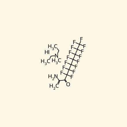 C=C(N)C(=O)C(F)(F)C(F)(F)C(F)(F)C(F)(F)C(F)(F)C(F)(F)C(F)(F)F.CCN(C)CC.I